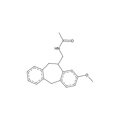 COc1ccc2c(c1)C(CNC(C)=O)Cc1ccccc1C2